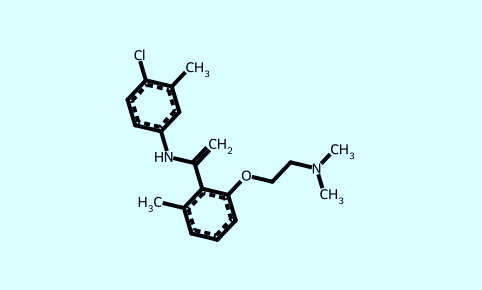 C=C(Nc1ccc(Cl)c(C)c1)c1c(C)cccc1OCCN(C)C